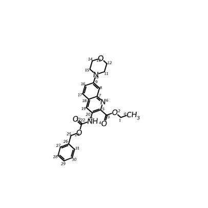 CCOC(=O)c1nc2cc(N3CCOCC3)ccc2cc1NC(=O)OCc1ccccc1